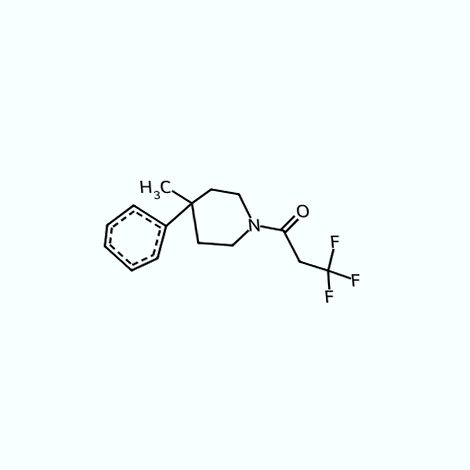 CC1(c2ccccc2)CCN(C(=O)CC(F)(F)F)CC1